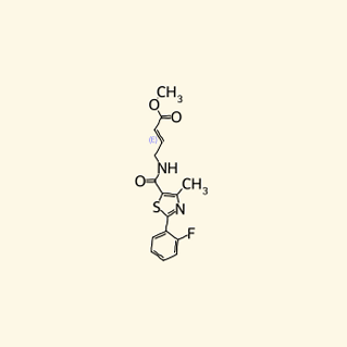 COC(=O)/C=C/CNC(=O)c1sc(-c2ccccc2F)nc1C